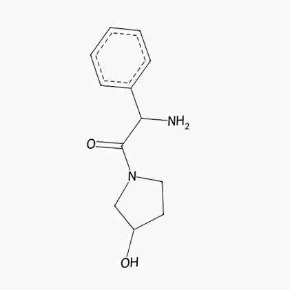 NC(C(=O)N1CCC(O)C1)c1ccccc1